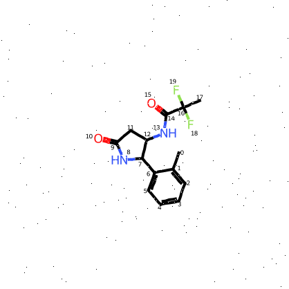 Cc1ccccc1C1NC(=O)CC1NC(=O)C(C)(F)F